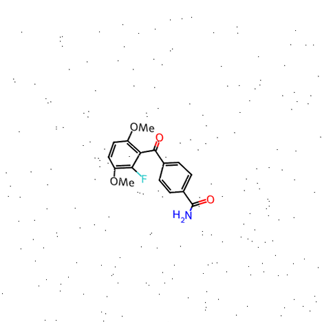 COc1ccc(OC)c(C(=O)c2ccc(C(N)=O)cc2)c1F